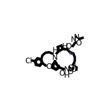 CC[C@@H]1CC/C=C/[C@H](OCc2nnc(C)o2)[C@@H]2CC[C@H]2CN2CCCCc3cc(Cl)ccc3COc3ccc(cc32)C(=O)NS1(=O)=O